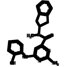 CN(C(=O)c1cc(Nc2ccccc2O)nc(N)n1)C1Cc2ccccc2C1